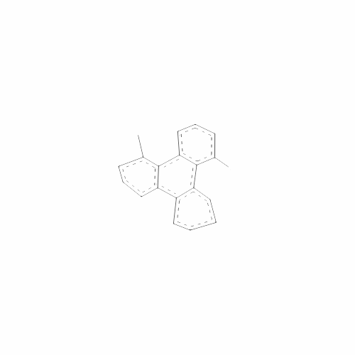 Fc1cccc2c3ccccc3c3c(Cl)cccc3c12